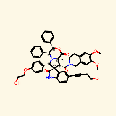 COc1cc2c(cc1OC)CN(C(=O)[C@H]1[C@@H]3C(=O)O[C@@H](c4ccccc4)[C@@H](c4ccccc4)N3[C@@H](c3ccc(OCCO)cc3)[C@]13C(=O)Nc1ccc(C#CCCO)cc13)CC2